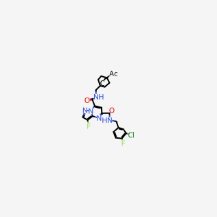 CC(=O)C12CCC(CNC(=O)c3cc(C(=O)NCc4ccc(F)c(Cl)c4)nc4c(F)cnn34)(CC1)CC2